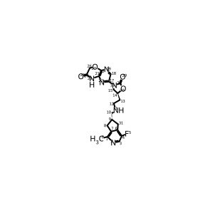 Cc1ncc(F)c2c1C[C@H](CNCC[C@H]1CN(c3cnc4c(n3)NC(=O)CO4)C(=O)O1)C2